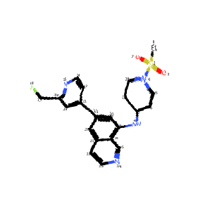 CCS(=O)(=O)N1CCC(Nc2cc(-c3ccnc(CF)c3)cc3ccncc23)CC1